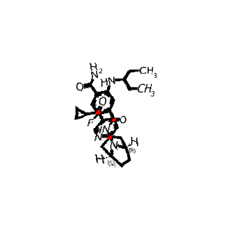 CCC(CC)Nc1cc(C(=O)N[C@H]2C[C@H]3CC[C@@H](C2)N3c2ccc(C(=O)C3CC3)cn2)c(F)cc1C(N)=O